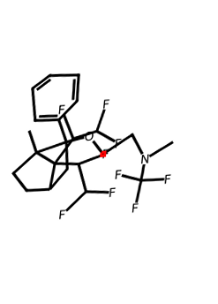 CN(CCOC1(c2ccccc2)CC2CCC1(C)C2(C(F)C(F)F)C(F)C(F)F)C(F)(F)F